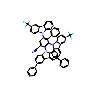 N#Cc1cc(-n2c3ccccc3c3cc(C(F)(F)F)ccc32)c(-c2ccccc2)c(-n2c3ccccc3c3cc(C(F)(F)F)ccc32)c1-n1c2ccc(-c3ccccc3)cc2c2cc(-c3ccccc3)ccc21